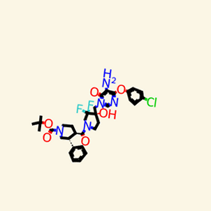 CC(C)(C)OC(=O)N1CC[C@@H](C(=O)N2CC[C@](O)(Cn3cnc(Oc4ccc(Cl)cc4)c(N)c3=O)C(F)(F)C2)[C@H](c2ccccc2)C1